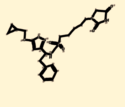 O=C1CN(CCCCCS(=O)(=O)NC(Cc2ccccc2)c2cc(OCC3CC3)on2)C(=O)N1